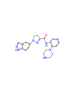 O=C(Nc1cnccc1N1CCNCC1)C1=NN(c2ccc3[nH]ncc3c2)CC1